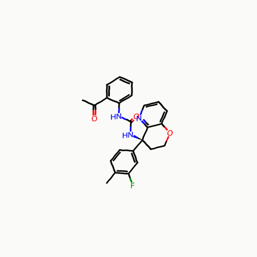 CC(=O)c1ccccc1NC(=O)N[C@]1(c2ccc(C)c(F)c2)CCOc2cccnc21